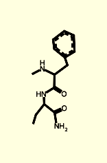 CCC(NC(=O)C(Cc1ccccc1)NC)C(N)=O